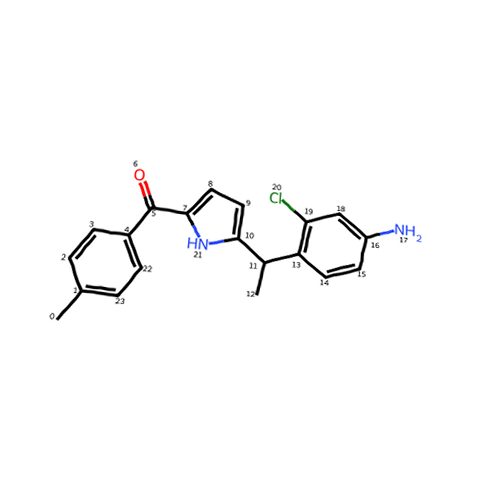 Cc1ccc(C(=O)c2ccc(C(C)c3ccc(N)cc3Cl)[nH]2)cc1